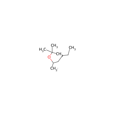 [CH2]C(CCCC)OC(C)(C)C